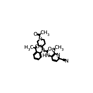 COc1nc(C#N)ccc1NC(=O)N(c1ccccc1C(C)C)C1CCN(C(C)=O)CC1